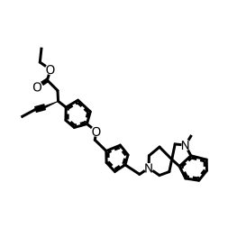 CC#C[C@@H](CC(=O)OCC)c1ccc(OCc2ccc(CN3CCC4(CC3)CN(C)c3ccccc34)cc2)cc1